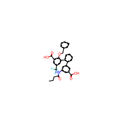 CCCC(=O)Nc1cc(C(=O)O)cc(-c2ccccc2-c2cc(C(F)(F)F)cc(C(=O)O)c2OCc2ccccc2)c1